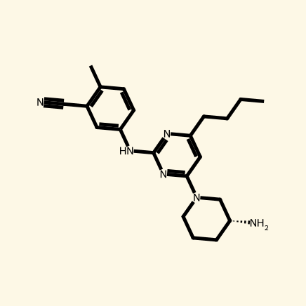 CCCCc1cc(N2CCC[C@@H](N)C2)nc(Nc2ccc(C)c(C#N)c2)n1